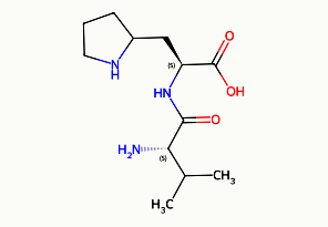 CC(C)[C@H](N)C(=O)N[C@@H](CC1CCCN1)C(=O)O